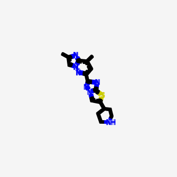 Cc1cn2nc(-c3nc4sc(C5CCNCC5)cn4n3)cc(C)c2n1